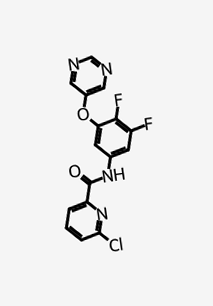 O=C(Nc1cc(F)c(F)c(Oc2cncnc2)c1)c1cccc(Cl)n1